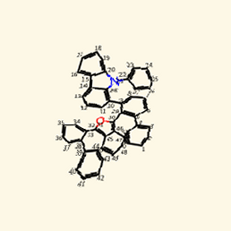 c1cccc(-c2cccc(-c3cccc4c5ccccc5n(-c5ccccc5)c34)c2-c2oc(-c3ccccc3-c3ccccc3)c3c2CCC=C3)c#1